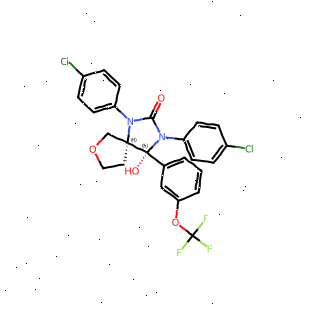 O=C1N(c2ccc(Cl)cc2)[C@@]2(CCOC2)[C@](O)(c2cccc(OC(F)(F)F)c2)N1c1ccc(Cl)cc1